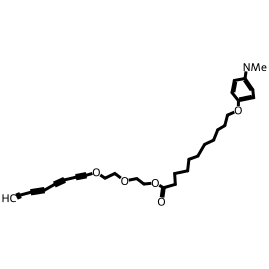 C#CC#CC#CC#COCCOCCOC(=O)CCCCCCCCCCOc1ccc(NC)cc1